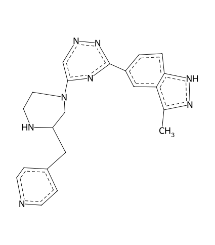 Cc1n[nH]c2ccc(-c3nncc(N4CCNC(Cc5ccncc5)C4)n3)cc12